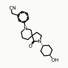 N#CCc1cccc(N2CCCC3(CCN([C@H]4CC[C@H](O)CC4)C3=O)C2)c1